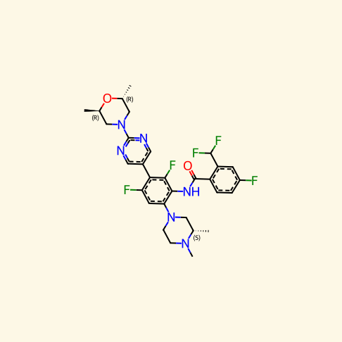 C[C@@H]1CN(c2ncc(-c3c(F)cc(N4CCN(C)[C@@H](C)C4)c(NC(=O)c4ccc(F)cc4C(F)F)c3F)cn2)C[C@@H](C)O1